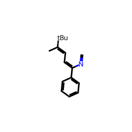 C=N/C(=C\C=C(/C)C(C)(C)C)c1ccccc1